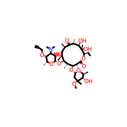 C#CCO[C@H]1C(N(C)C)[C@@H](O)[C@H](O[C@@H]2[C@@H](C)[C@H](O[C@H]3CC(C)(OC)[C@@H](O)[C@H](C)O3)[C@@H](C)C(=O)O[C@H](CC)[C@@](C)(O)[C@H](O)[C@@H](C)C(=O)[C@H](C)C[C@@]2(C)O)O[C@@H]1C